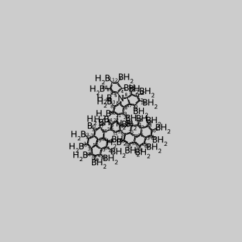 Bc1c(B)c(B)c(-n2c3c(B)c(B)c(B)c(B)c3c3c(B)c(-c4c(B)c(-c5c(B)c(B)c6c(B)c(B)c7c(B)c(B)c(B)c8c(B)c(B)c5c6c78)cc(-c5c(B)c(B)c6c(B)c(B)c7c(B)c(B)c(B)c8c(B)c(B)c5c6c78)c4B)c(B)c(B)c32)c(B)c1B